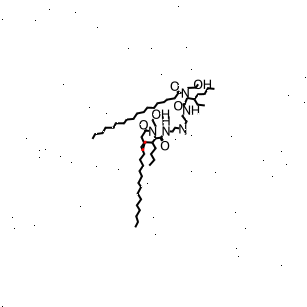 CCCCCCCCCCCCCCCCCC(=O)N(CCO)C(C(=O)NCCN(C)CCNC(=O)C(C(CC)CCCC)N(CCO)C(=O)CCCCCCCCCCCCCCCCC)C(CC)CCCC